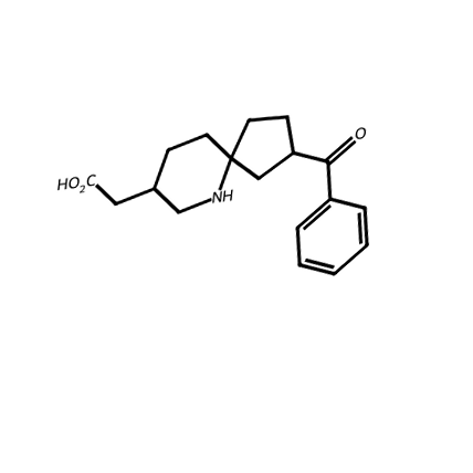 O=C(O)CC1CCC2(CCC(C(=O)c3ccccc3)C2)NC1